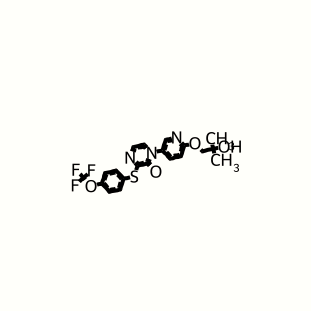 CC(C)(O)COc1ccc(-n2ccnc(Sc3ccc(OC(F)(F)F)cc3)c2=O)cn1